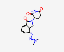 CN(C)/N=N/c1cccc2c1CN(C1CCC(=O)NC1=O)C2=O